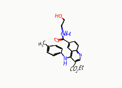 CCOC(=O)c1cnc2ccc(C(=O)NCCO)cc2c1Nc1ccc(C)cc1